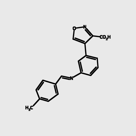 Cc1ccc(C=Nc2cccc(-c3conc3C(=O)O)c2)cc1